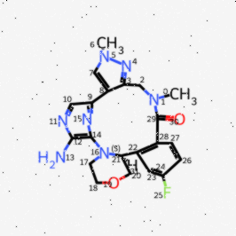 CN1Cc2nn(C)cc2-c2cnc(N)c(n2)N2CCOC[C@@H]2c2cc(F)ccc2C1=O